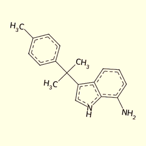 Cc1ccc(C(C)(C)c2c[nH]c3c(N)cccc23)cc1